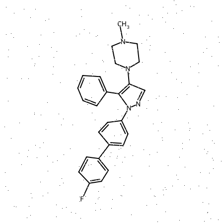 CN1CCN(c2cnn(-c3ccc(-c4ccc(F)cc4)cc3)c2-c2ccccc2)CC1